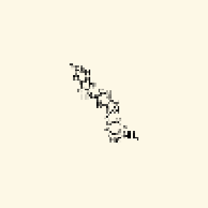 N[C@]1(O)CC[C@H](Cn2ncc3ncc(Nc4cc(OC(F)F)[nH]n4)nc32)CC1